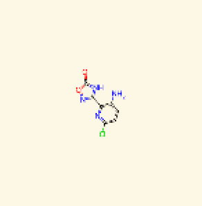 Nc1ccc(Cl)nc1-c1noc(=O)[nH]1